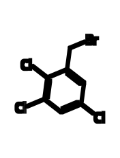 Clc1cc(Cl)c(Cl)c(CBr)c1